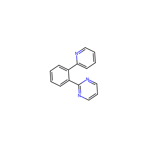 c1ccc(-c2ccccc2-c2ncccn2)nc1